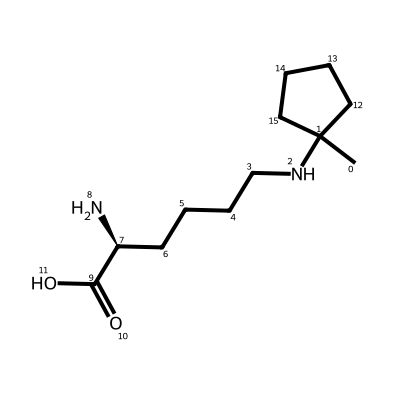 CC1(NCCCC[C@H](N)C(=O)O)CCCC1